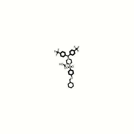 O=C(O)[C@@H]1CN(C(c2ccc(C(F)(F)F)cc2)c2ccc(C(F)(F)F)cc2)CCN1S(=O)(=O)c1ccc(OCC2CCCCC2)cc1